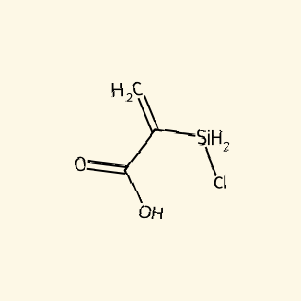 C=C([SiH2]Cl)C(=O)O